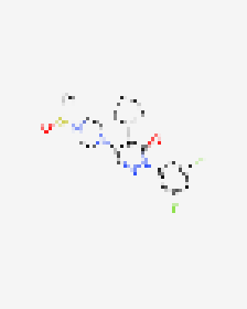 CC(C)[S+]([O-])N1CCN(c2cnn(-c3cc(F)cc(F)c3)c(=O)c2C2CCCC2)CC1